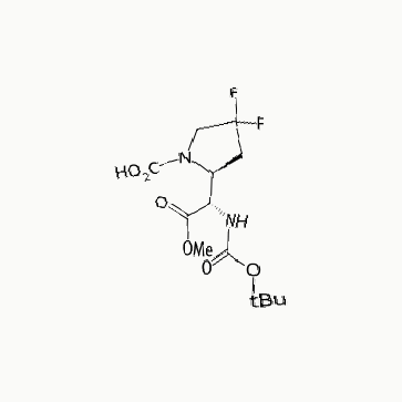 COC(=O)[C@@H](NC(=O)OC(C)(C)C)[C@@H]1CC(F)(F)CN1C(=O)O